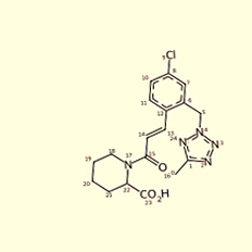 Cc1nnn(Cc2cc(Cl)ccc2C=CC(=O)N2CCCCC2C(=O)O)n1